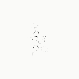 O=[N+]([O-])c1cc(C(F)(F)F)ccc1S(=O)(=O)N1c2ccc(F)cc2C2(CCNCC2)[C@H]1CC1CC1